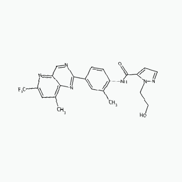 Cc1cc(-c2ncc3nc(C(F)(F)F)cc(C)c3n2)ccc1NC(=O)c1ccnn1CCO